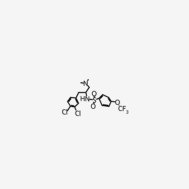 CN(C)CC(Cc1ccc(Cl)c(Cl)c1)NS(=O)(=O)c1ccc(OC(F)(F)F)cc1